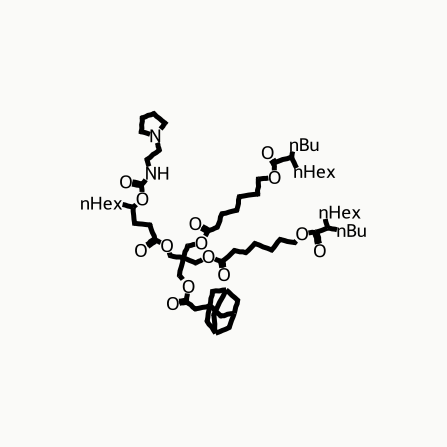 CCCCCCC(CCC(=O)OCC(COC(=O)CCCCCCOC(=O)C(CCCC)CCCCCC)(COC(=O)CCCCCCOC(=O)C(CCCC)CCCCCC)COC(=O)CC12CC3CC(CC(C3)C1)C2)OC(=O)NCCN1CCCC1